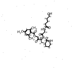 Cc1cc(C)c(C(=O)OCC(=O)[C@H](C[C@@H]2CCCNC2=O)NC(=O)CNC(=O)CCCCO)c(C)n1